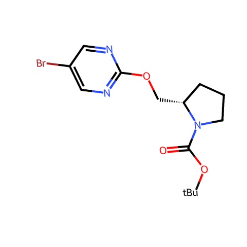 CC(C)(C)OC(=O)N1CCC[C@H]1COc1ncc(Br)cn1